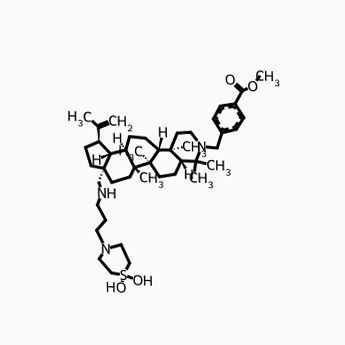 C=C(C)[C@@H]1CC[C@]2(CNCCCN3CCS(O)(O)CC3)CC[C@]3(C)[C@H](CC[C@@H]4[C@@]5(C)CCN(Cc6ccc(C(=O)OC)cc6)C(C)(C)[C@@H]5CC[C@]43C)[C@@H]12